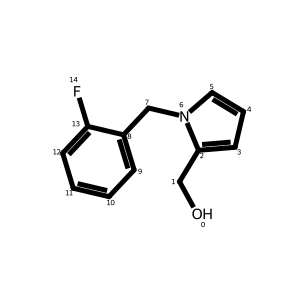 OCc1cccn1Cc1ccccc1F